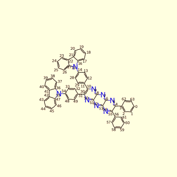 c1ccc(-c2nc3nc4nc(-c5ccc(-n6c7ccccc7c7ccccc76)cc5)c(-c5ccc(-n6c7ccccc7c7ccccc76)cc5)nc4nc3nc2-c2ccccc2)cc1